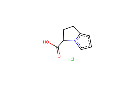 Cl.O=C(O)C1CCc2cccn21